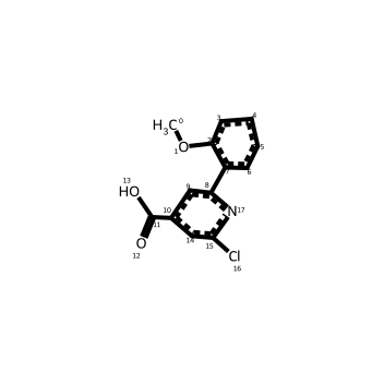 COc1ccccc1-c1cc(C(=O)O)cc(Cl)n1